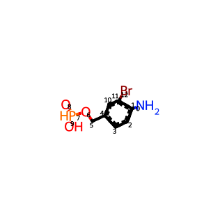 Nc1ccc(CO[PH](=O)O)cc1Br